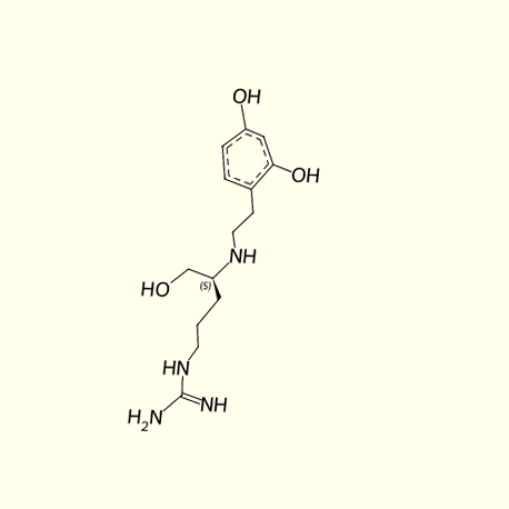 N=C(N)NCCC[C@@H](CO)NCCc1ccc(O)cc1O